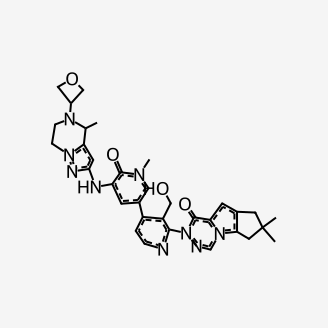 CC1c2cc(Nc3cc(-c4ccnc(-n5ncn6c7c(cc6c5=O)CC(C)(C)C7)c4CO)cn(C)c3=O)nn2CCN1C1COC1